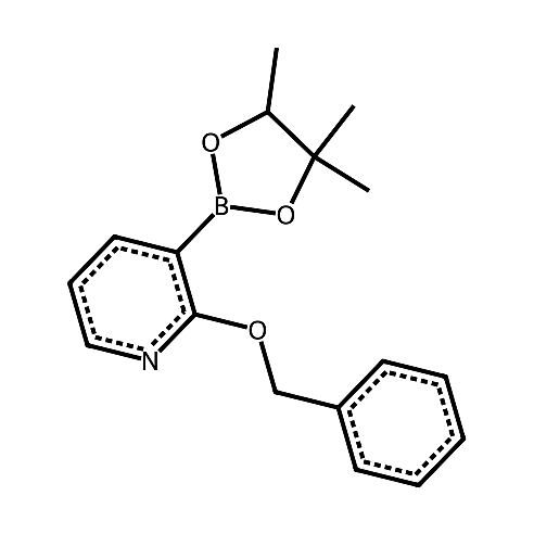 CC1OB(c2cccnc2OCc2ccccc2)OC1(C)C